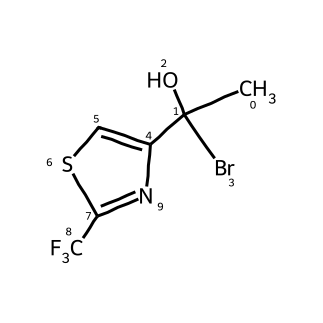 CC(O)(Br)c1csc(C(F)(F)F)n1